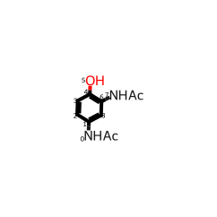 CC(=O)Nc1ccc(O)c(NC(C)=O)c1